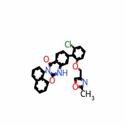 Cc1nc(COc2cccc(Cl)c2-c2ccc3c(=O)n(-c4cccc5ccccc45)c(=O)[nH]c3c2)co1